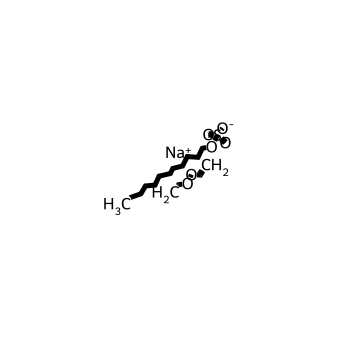 C=COOC=C.CCCCCCCCCCCCOS(=O)(=O)[O-].[Na+]